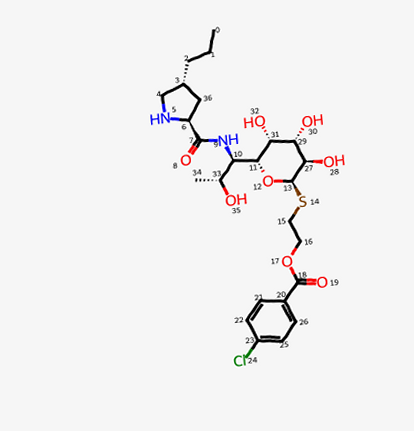 CCC[C@H]1CN[C@H](C(=O)N[C@@H]([C@H]2O[C@H](SCCOC(=O)c3ccc(Cl)cc3)[C@H](O)[C@@H](O)[C@H]2O)[C@@H](C)O)C1